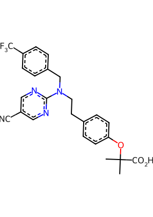 CC(C)(Oc1ccc(CCN(Cc2ccc(C(F)(F)F)cc2)c2ncc(C#N)cn2)cc1)C(=O)O